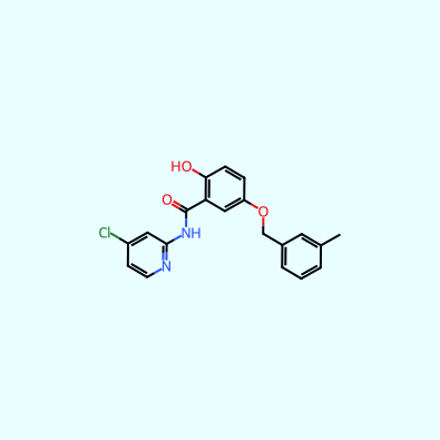 Cc1cccc(COc2ccc(O)c(C(=O)Nc3cc(Cl)ccn3)c2)c1